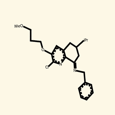 COCCCOc1cc2c(nc1Cl)C(=NCc1ccccc1)CC(C(C)C)C2